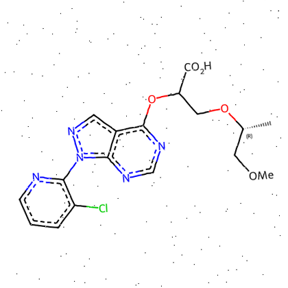 COC[C@@H](C)OCC(Oc1ncnc2c1cnn2-c1ncccc1Cl)C(=O)O